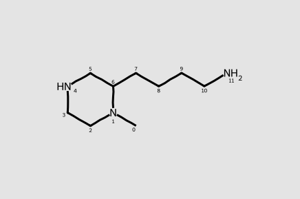 CN1CCNCC1CCCCN